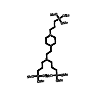 CO[Si](CCCN(CCC[Si](OC)(OC)OC)CCN1CCN(CCC[Si](OC)(OC)OC)CC1)(OC)OC